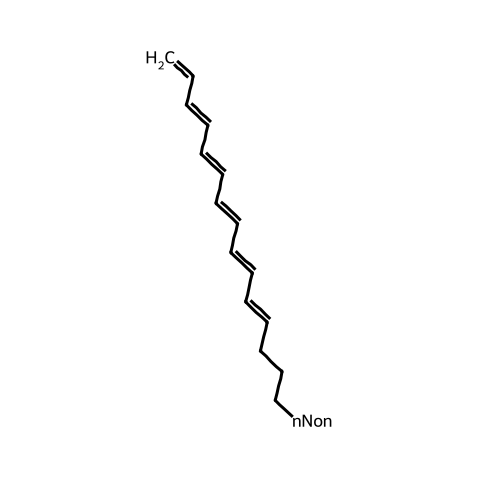 C=CC=CC=CC=CC=CC=CCCCCCCCCCCCC